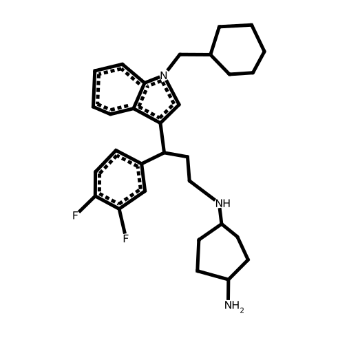 NC1CCC(NCCC(c2ccc(F)c(F)c2)c2cn(CC3CCCCC3)c3ccccc23)CC1